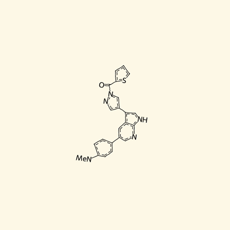 CNc1ccc(-c2cnc3[nH]cc(-c4cnn(C(=O)c5cccs5)c4)c3c2)cc1